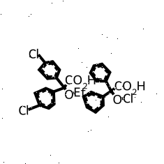 CCOC(C(=O)O)(c1ccc(Cl)cc1)c1ccc(Cl)cc1.O=C(O)C(OCl)(c1ccccc1)c1ccccc1